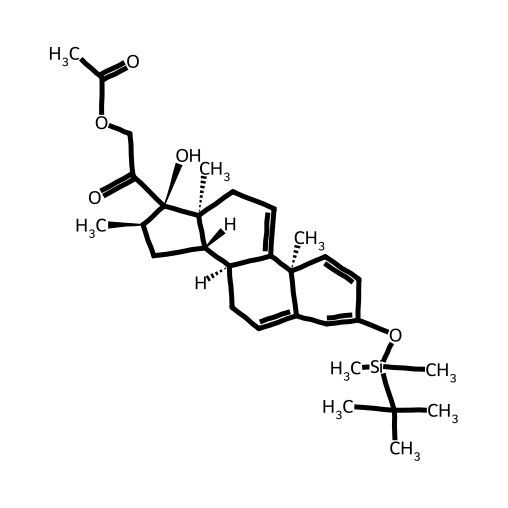 CC(=O)OCC(=O)[C@@]1(O)[C@H](C)C[C@H]2[C@@H]3CC=C4C=C(O[Si](C)(C)C(C)(C)C)C=C[C@]4(C)C3=CC[C@@]21C